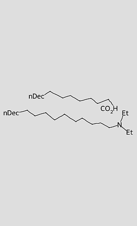 CCCCCCCCCCCCCCCCCC(=O)O.CCCCCCCCCCCCCCCCCCCCN(CC)CC